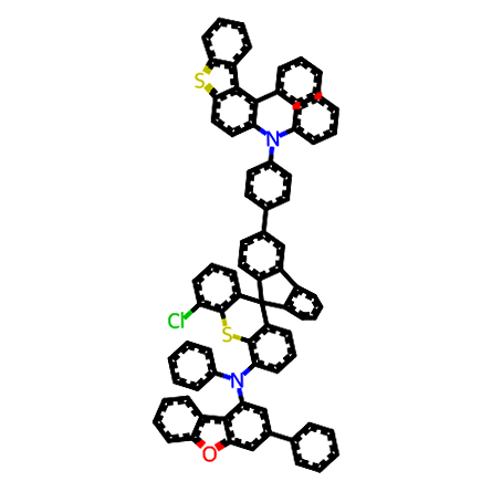 Clc1cccc2c1Sc1c(N(c3ccccc3)c3cc(-c4ccccc4)cc4oc5ccccc5c34)cccc1C21c2ccccc2-c2cc(-c3ccc(N(c4ccccc4)c4ccc5sc6ccccc6c5c4-c4ccccc4)cc3)ccc21